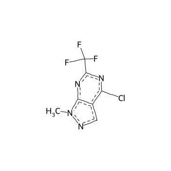 Cn1ncc2c(Cl)nc(C(F)(F)F)nc21